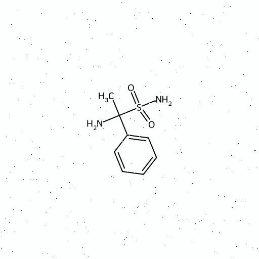 CC(N)(c1ccccc1)S(N)(=O)=O